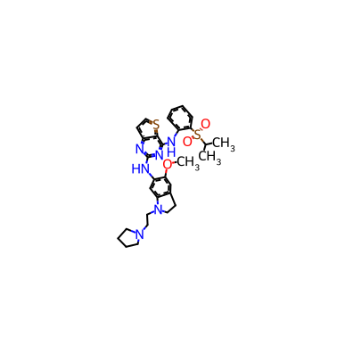 COc1cc2c(cc1Nc1nc(Nc3ccccc3S(=O)(=O)C(C)C)c3sccc3n1)N(CCN1CCCC1)CC2